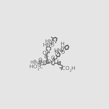 CC(C)(Cc1csc(C2CCCN2C(=O)Cc2ccc(NC(=O)Nc3ccccc3)nc2)c1)C(=O)O.CCCCS(=O)(=O)NC(Cc1coc(CN(C)C(=O)CN2CCC(NC(=O)Nc3ncccc3C)CC2)c1)C(=O)O